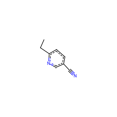 CCc1ccc(C#N)[c]n1